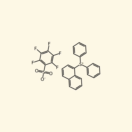 O=S(=O)([O-])c1c(F)c(F)c(F)c(F)c1F.c1ccc([S+](c2ccccc2)c2cccc3ccccc23)cc1